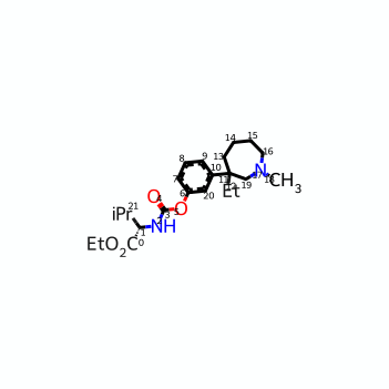 CCOC(=O)[C@@H](NC(=O)Oc1cccc(C2(CC)CCCCN(C)C2)c1)C(C)C